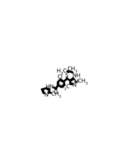 Cc1ncccc1NC(=O)c1ccc(C2SC(C)(C)CNc3c2c(C)nn3C)c(Cl)c1